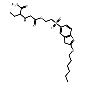 CCCCCCSc1nc2ccc(S(=O)(=O)CCOC(=O)CNC(CC)C(N)=O)cc2s1